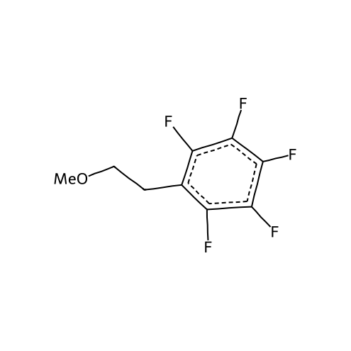 COCCc1c(F)c(F)c(F)c(F)c1F